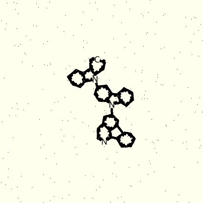 c1ccc2c(c1)-c1cc(-n3c4ccccc4c4cc(-n5c6ccccc6c6ccccc65)ccc43)cc3ccnc-2c13